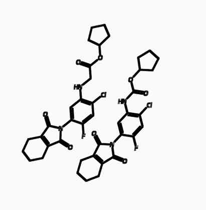 O=C(CNc1cc(N2C(=O)C3=C(CCCC3)C2=O)c(F)cc1Cl)OC1CCCC1.O=C(Nc1cc(N2C(=O)C3=C(CCCC3)C2=O)c(F)cc1Cl)OC1CCCC1